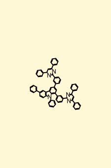 c1ccc(-c2ccc3c(c2)c2cc(-c4cccc(-c5nc(-c6ccccc6)cc(-c6ccccc6)n5)c4)cc(-c4cccc(-c5nc(-c6ccccc6)cc(-c6ccccc6)n5)c4)c2n3-c2ccccc2)cc1